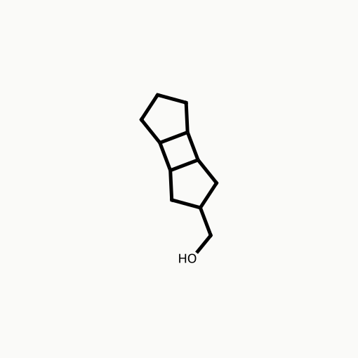 OCC1CC2C3CCCC3C2C1